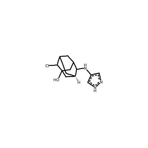 OC12CC3CC(C[C@H](C1)C3Nc1cn[nH]c1)C2Cl